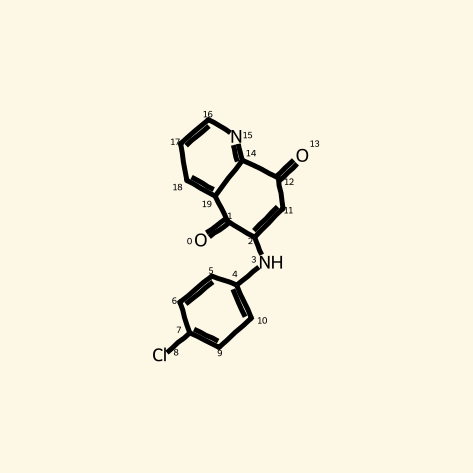 O=C1C(Nc2ccc(Cl)cc2)=CC(=O)c2ncccc21